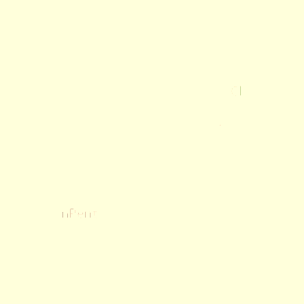 CCCCCCCCCC(C)(C)Cl